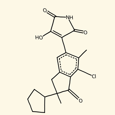 Cc1c(C2=C(O)C(=O)NC2=O)cc2c(c1Cl)C(=O)C(C)(C1CCCC1)C2